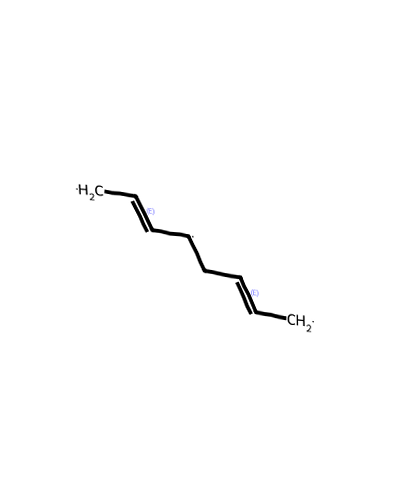 [CH2]/C=C/[CH]C/C=C/[CH2]